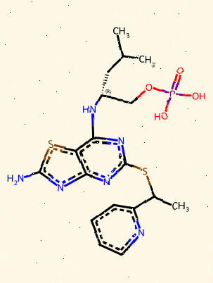 CC(C)C[C@H](COP(=O)(O)O)Nc1nc(SC(C)c2ccccn2)nc2nc(N)sc12